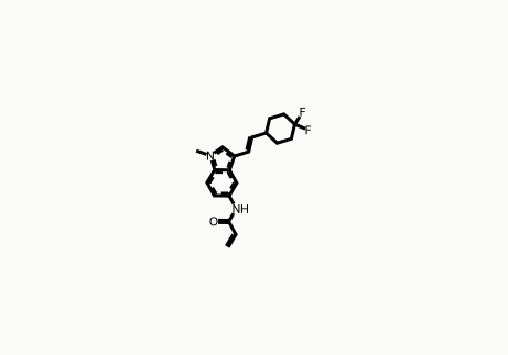 C=CC(=O)Nc1ccc2c(c1)c(/C=C/C1CCC(F)(F)CC1)cn2C